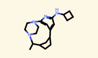 CC1C2CCC(C2)c2cc(NC3CCC3)nc(c2)N2CCN1CC2